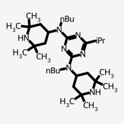 CCCCN(c1nc(C(C)C)nc(N(CCCC)C2CC(C)(C)NC(C)(C)C2)n1)C1CC(C)(C)NC(C)(C)C1